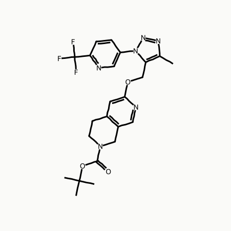 Cc1nnn(-c2ccc(C(F)(F)F)nc2)c1COc1cc2c(cn1)CN(C(=O)OC(C)(C)C)CC2